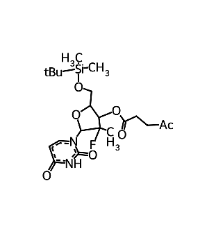 CC(=O)CCC(=O)OC1C(CO[Si](C)(C)C(C)(C)C)OC(n2ccc(=O)[nH]c2=O)C1(C)F